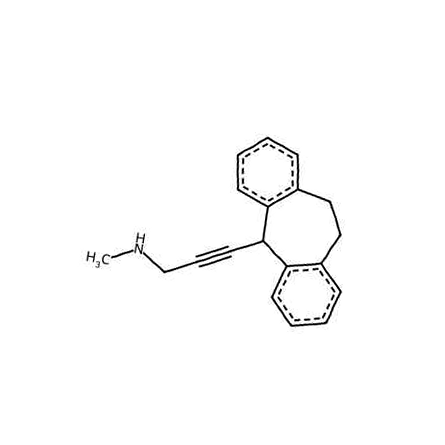 CNCC#CC1c2ccccc2CCc2ccccc21